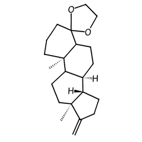 C=C1CC[C@H]2[C@@H]3CCC4C5(CCC[C@]4(C)C3CC[C@]12C)OCCO5